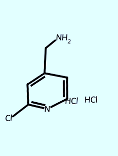 Cl.Cl.NCc1ccnc(Cl)c1